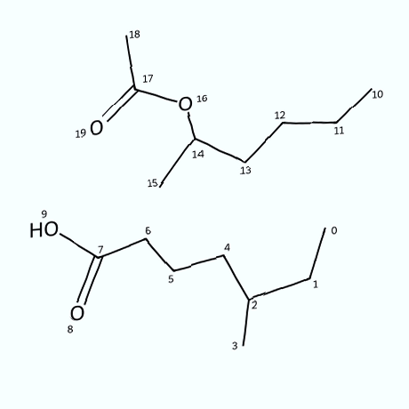 CCC(C)CCCC(=O)O.CCCCC(C)OC(C)=O